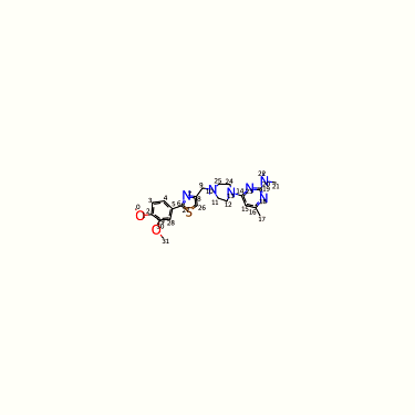 COc1ccc(-c2nc(CN3CCN(c4cc(C)nc(N(C)C)n4)CC3)cs2)cc1OC